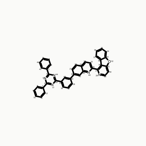 c1ccc(-c2nc(-c3ccccc3)nc(-c3cccc(-c4ccc5ccc(-c6nccc7oc8ccccc8c67)nc5c4)c3)n2)cc1